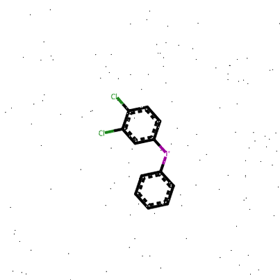 Clc1ccc([I+]c2ccccc2)cc1Cl